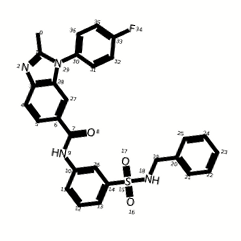 Cc1nc2ccc(C(=O)Nc3cccc(S(=O)(=O)NCc4ccccc4)c3)cc2n1-c1ccc(F)cc1